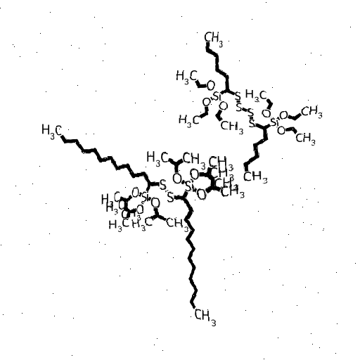 CCCCCC(SSSSC(CCCCC)[Si](OCC)(OCC)OCC)[Si](OCC)(OCC)OCC.CCCCCCCCCCCC(SSC(CCCCCCCCCCC)[Si](OC(C)C)(OC(C)C)OC(C)C)[Si](OC(C)C)(OC(C)C)OC(C)C